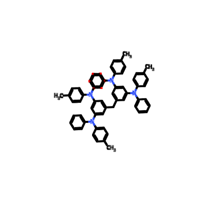 Cc1ccc(N(c2ccccc2)c2cc(Cc3cc(N(c4ccccc4)c4ccc(C)cc4)cc(N(c4ccccc4)c4ccc(C)cc4)c3)cc(N(c3ccccc3)c3ccc(C)cc3)c2)cc1